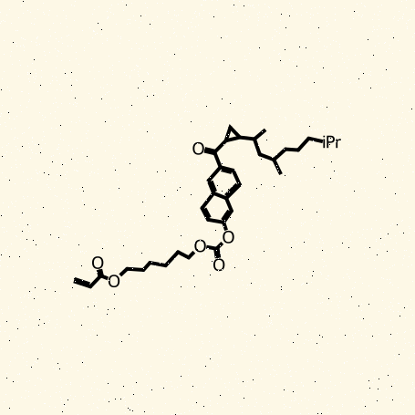 C=CC(=O)OCCCCCCOC(=O)Oc1ccc2cc(C(=O)C3CC3C(C)CC(C)CCCC(C)C)ccc2c1